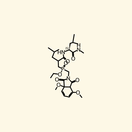 CCOP(=O)(CC(CC(C)C)C(=O)N[C@@H](CC(C)C)C(=O)NC)CN1C(=O)C2C(OC)=CC=CC2(OC)C1=O